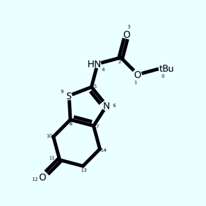 CC(C)(C)OC(=O)Nc1nc2c(s1)CC(=O)CC2